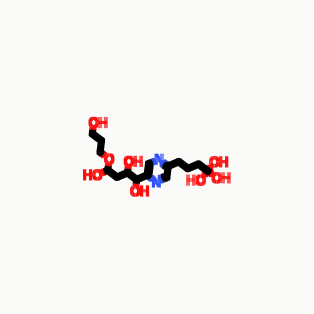 OCCCOC(O)CC(O)C(O)c1cnc(CCCC(O)(O)O)cn1